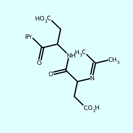 CC(C)=NC(CC(=O)O)C(=O)NC(CC(=O)O)C(=O)C(C)C